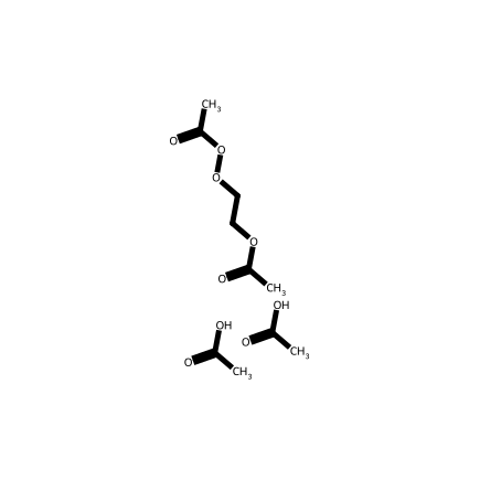 CC(=O)O.CC(=O)O.CC(=O)OCCOOC(C)=O